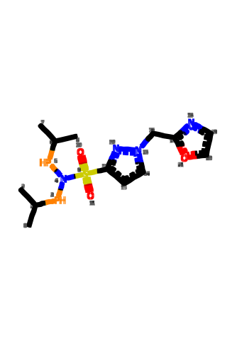 CC(C)PN(PC(C)C)S(=O)(=O)c1ccn(Cc2ncco2)n1